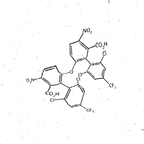 O=C(O)c1c([N+](=O)[O-])ccc(Oc2ccc([N+](=O)[O-])c(C(=O)O)c2-c2c(Cl)cc(C(F)(F)F)cc2Cl)c1-c1c(Cl)cc(C(F)(F)F)cc1Cl